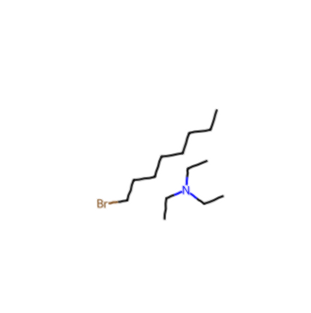 CCCCCCCCBr.CCN(CC)CC